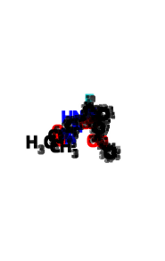 CC(C)(C)OC(=O)n1ncc2nc(NC(=O)[C@H]3C[C@@H](F)CN3C(=O)C3(c4ccc(C(=O)OCc5ccccc5)cc4)CCCCC3)ccc21